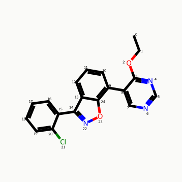 CCOc1ncncc1-c1cccc2c(-c3ccccc3Cl)noc12